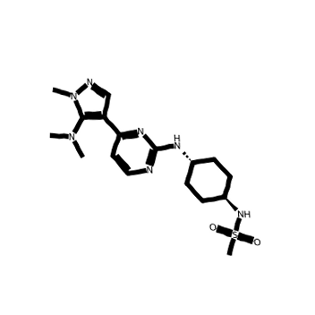 CN(C)c1c(-c2ccnc(N[C@H]3CC[C@H](NS(C)(=O)=O)CC3)n2)cnn1C